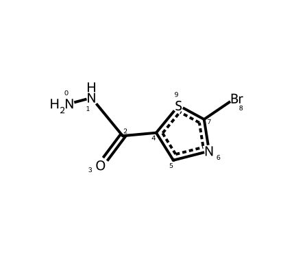 NNC(=O)c1cnc(Br)s1